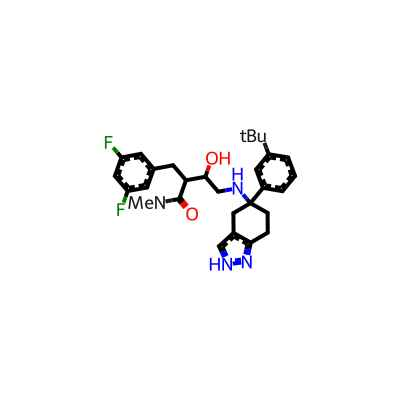 CNC(=O)C(Cc1cc(F)cc(F)c1)C(O)CNC1(c2cccc(C(C)(C)C)c2)CCc2n[nH]cc2C1